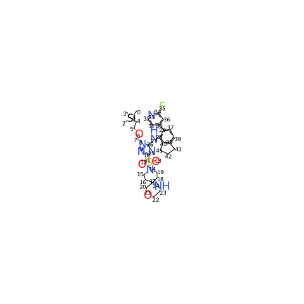 C[Si](C)(C)CCOCn1nc(S(=O)(=O)N2CCC3(CC2)COCCN3)nc1Nc1c(-c2ccnc(F)c2)ccc2c1CCC2